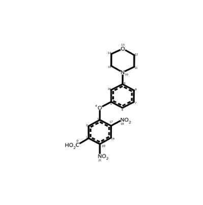 O=C(O)c1cc(Oc2cccc(N3CCOCC3)c2)c([N+](=O)[O-])cc1[N+](=O)[O-]